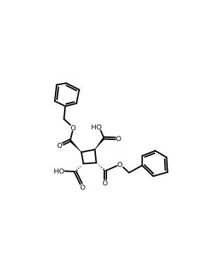 O=C(O)[C@H]1[C@H](C(=O)OCc2ccccc2)[C@H](C(=O)O)[C@H]1C(=O)OCc1ccccc1